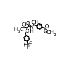 COC(=O)c1ccc(C(C)NC(=O)C(OCc2ccc(C(F)(F)F)cc2)C(C)C)cc1